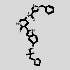 CC(C)(COc1ccc2[nH]c(-c3cc(NC(=O)c4cnn(Cc5ccccc5)c4)c[nH]c3=O)cc2c1)CN1CCCC1